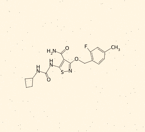 Cc1ccc(COc2nsc(NC(=O)NC3CCC3)c2C(N)=O)c(F)c1